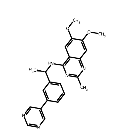 COc1cc2nc(C)nc(N[C@H](C)c3cccc(-c4cncnc4)c3)c2cc1OC